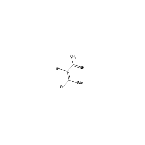 CN/C(=C(\C(C)=N)C(C)C)C(C)C